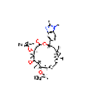 Cc1nc2cc([C@@H]3C[C@@H]4C[C@H]4CCC[C@H](C)[C@H](O[Si](C)(C)C(C)(C)C)[C@@H](C)C(=O)C(C)(C)[C@@H](O[Si](C)(C)C(C)(C)C)CC(=O)O3)ccc2n1C